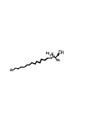 C#CC(C(C)C)N(C)CCCCCCCCCCCCCCC(C)C